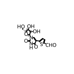 O=Cc1ccc(-c2cn([C@@H]3O[C@H](CO)[C@@H](O)[C@H]3O)c(=O)[nH]c2=O)s1